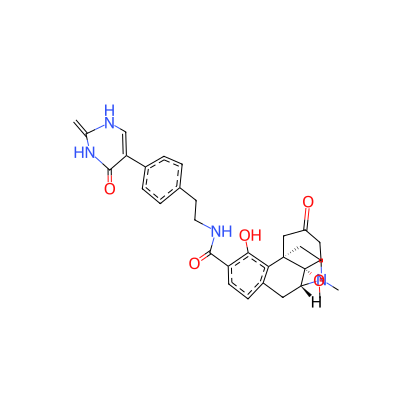 C=C1NC=C(c2ccc(CCNC(=O)c3ccc4c(c3O)[C@]35CCN(C)[C@H](C4)[C@]3(OC)CCC(=O)C5)cc2)C(=O)N1